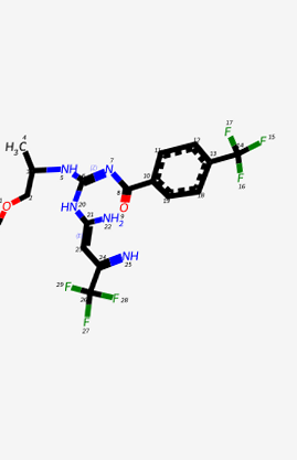 COCC(C)N/C(=N/C(=O)c1ccc(C(F)(F)F)cc1)N/C(N)=C/C(=N)C(F)(F)F